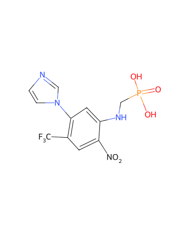 O=[N+]([O-])c1cc(C(F)(F)F)c(-n2ccnc2)cc1NCP(=O)(O)O